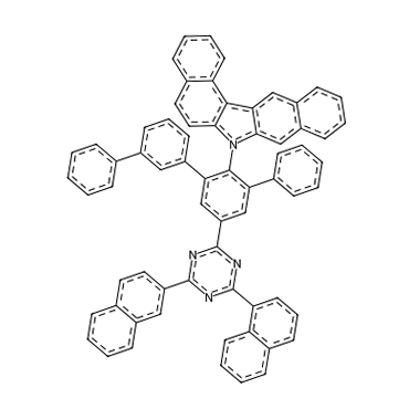 c1ccc(-c2cccc(-c3cc(-c4nc(-c5ccc6ccccc6c5)nc(-c5cccc6ccccc56)n4)cc(-c4ccccc4)c3-n3c4cc5ccccc5cc4c4c5ccccc5ccc43)c2)cc1